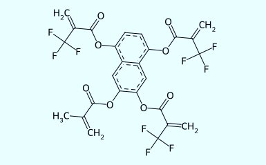 C=C(C)C(=O)Oc1cc2c(OC(=O)C(=C)C(F)(F)F)ccc(OC(=O)C(=C)C(F)(F)F)c2cc1OC(=O)C(=C)C(F)(F)F